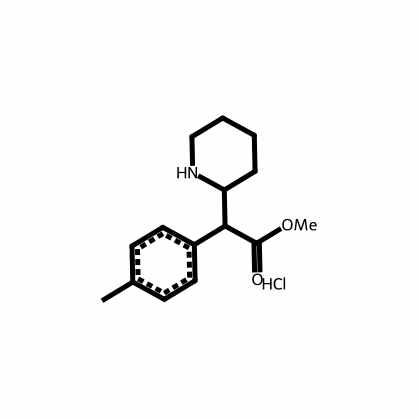 COC(=O)C(c1ccc(C)cc1)C1CCCCN1.Cl